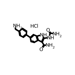 Cl.NCc1ccc(-c2ccc3c(C(N)=O)c(NC(N)=O)[nH]c3c2)cc1